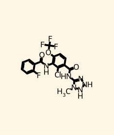 CN1NNN=C1NC(=O)c1ccc(OC(F)(F)F)c(NC(=O)c2ccccc2F)c1Cl